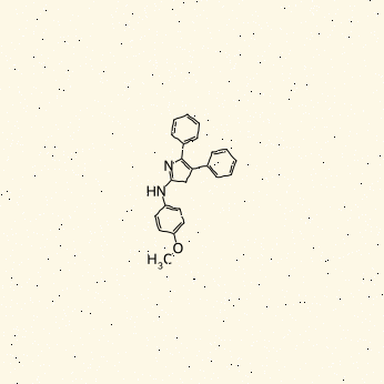 COc1ccc(NC2=NC(c3ccccc3)=C(c3ccccc3)C2)cc1